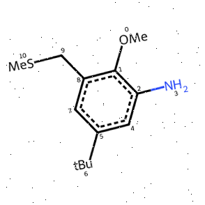 COc1c(N)cc(C(C)(C)C)cc1CSC